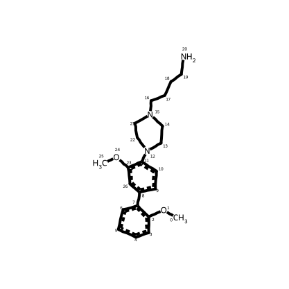 COc1ccccc1-c1ccc(N2CCN(CCCCN)CC2)c(OC)c1